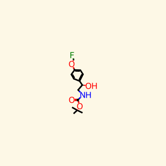 CC(C)(C)OC(=O)NC[C@H](O)c1ccc(OCF)cc1